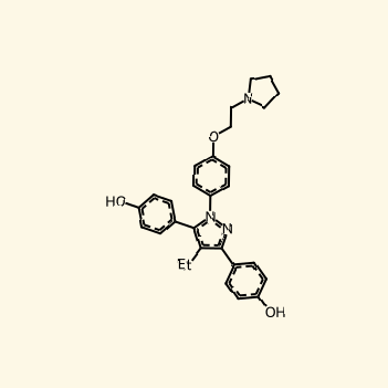 CCc1c(-c2ccc(O)cc2)nn(-c2ccc(OCCN3CCCC3)cc2)c1-c1ccc(O)cc1